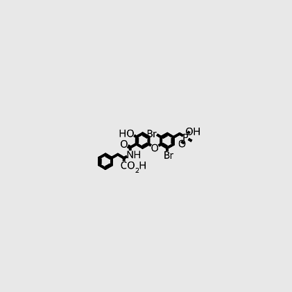 CP(=O)(O)Cc1cc(Br)c(Oc2ccc(O)c(C(=O)NC(Cc3ccccc3)C(=O)O)c2)c(Br)c1